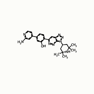 CC1(C)CC(n2nnc3cc(-c4ccc(-c5ccnc(N)c5)cc4O)nnc32)CC(C)(C)N1